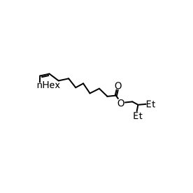 CCCCCC/C=C\CCCCCCCC(=O)OCC(CC)CC